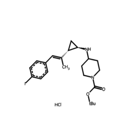 C/C(=C\c1ccc(I)cc1)[C@@H]1C[C@H]1NC1CCN(C(=O)OC(C)(C)C)CC1.Cl